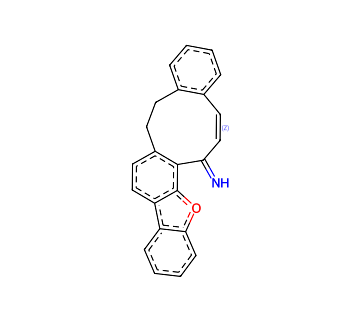 N=C1/C=C\c2ccccc2CCc2ccc3c(oc4ccccc43)c21